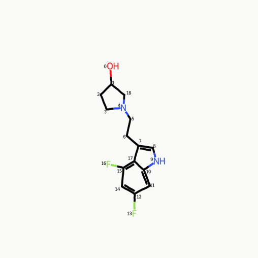 OC1CCN(CCc2c[nH]c3cc(F)cc(F)c23)C1